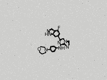 Fc1cc(-c2cn3ccnc3c(Nc3ccc(N4CCCOCC4)cc3)n2)cc2[nH]ncc12